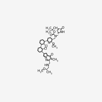 COc1nc(-c2cccc(-c3cccc(-c4cc5c(=O)n(C)c(CNCC(C)OC)nn5c4)c3Cl)c2Cl)ccc1CN(C[C@@H]1CCC(=O)N1)C(=O)OC(C)(C)C